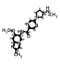 CN[C@@H]1CCN(c2cnc(C(=O)Nc3cn4cc(C)nc4cc3OC)cn2)C1